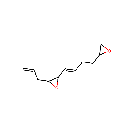 C=CCC1OC1C=CCCC1CO1